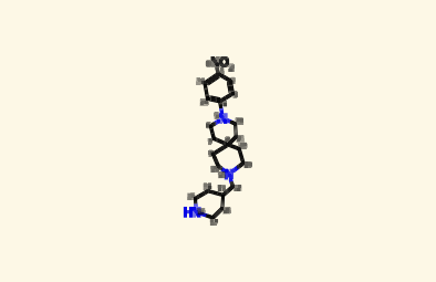 O=[N+]([O-])c1ccc(N2CCC3(CCN(CC4CCNCC4)CC3)CC2)cc1